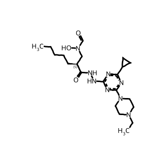 CCCCC[C@@H](CN(O)C=O)C(=O)NNc1nc(C2CC2)nc(N2CCN(CC)CC2)n1